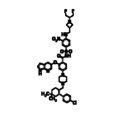 CC1(C)CCC(CN2CCN(c3ccc(C(=O)NS(=O)(=O)c4ccc(NCC5CN(C(CF)CF)C5)c([N+](=O)[O-])c4)c(Oc4cnc5[nH]ccc5c4)c3)CC2)=C(c2ccc(Cl)cc2)C1